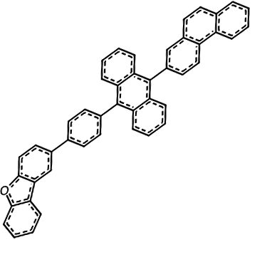 c1ccc2c(c1)ccc1cc(-c3c4ccccc4c(-c4ccc(-c5ccc6oc7ccccc7c6c5)cc4)c4ccccc34)ccc12